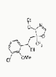 CCOC1N=COC1(CC(CC)c1cccc(Cl)c1OC)C(F)(F)F